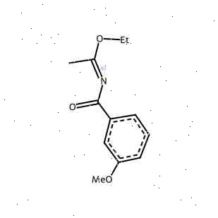 CCO/C(C)=N/C(=O)c1cccc(OC)c1